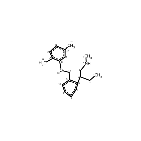 CCC(CNC)c1ccccc1COc1cc(C)ccc1C